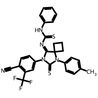 Cc1ccc(N2C(=S)N(c3ccc(C#N)c(C(F)(F)F)c3)C(=NC(=S)Nc3ccccc3)C23CCC3)cc1